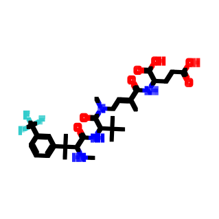 CNC(C(=O)NC(C(=O)N(C)C/C=C(\C)C(=O)NC(CCC(=O)O)C(=O)O)C(C)(C)C)C(C)(C)c1cccc(C(F)(F)F)c1